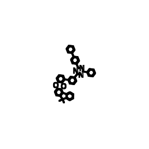 CC1(C)c2ccccc2-c2c1ccc1c2Oc2c(cccc2-c2cccc(-c3nc(-c4ccccc4)nc(-c4ccc(-c5ccccc5)cc4)n3)c2)O1